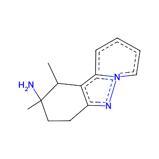 CC1c2c(nn3ccccc23)CCC1(C)N